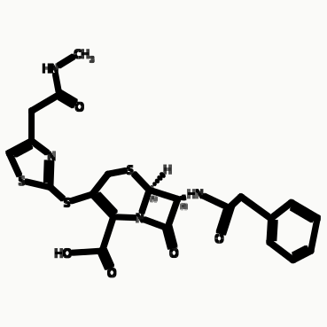 CNC(=O)Cc1csc(SC2=C(C(=O)O)N3C(=O)[C@@H](NC(=O)Cc4ccccc4)[C@@H]3SC2)n1